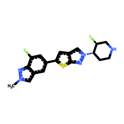 Cn1cc2cc(-c3cc4cn([C@H]5CCNC[C@@H]5F)nc4s3)cc(F)c2n1